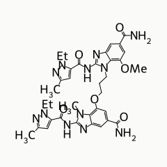 CCn1nc(C)cc1C(=O)Nc1nc2cc(C(N)=O)cc(OCCCn3c(NC(=O)c4cc(C)nn4CC)nc4cc(C(N)=O)cc(OC)c43)c2n1C